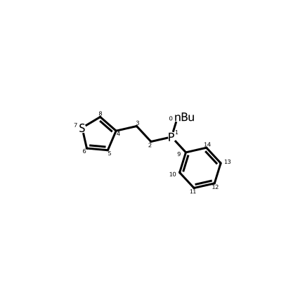 CCCCP(CCc1ccsc1)c1ccccc1